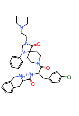 CCN(CC)CCN1CN(c2ccccc2)C2(CCN(C(=O)[C@@H](Cc3ccc(Cl)cc3)NC(=O)[C@H]3Cc4ccccc4CN3)CC2)C1=O